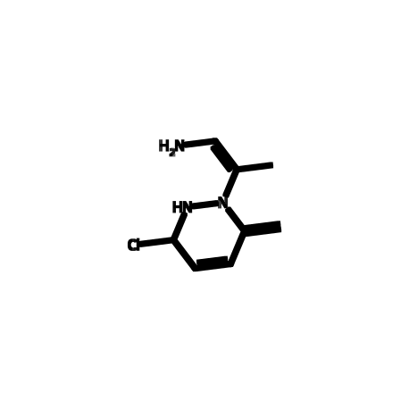 C=C1C=CC(Cl)NN1/C(C)=C\N